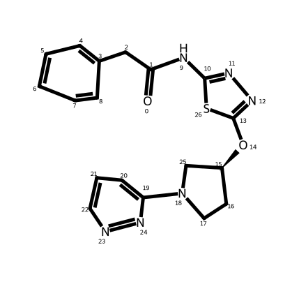 O=C(Cc1ccccc1)Nc1nnc(O[C@H]2CCN(c3cccnn3)C2)s1